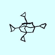 C1CC1C12CC3(C4CC4)CC(C4CC4)(C1)CC(C1CC1)(C2)C3